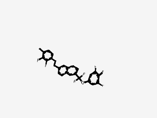 Cc1ccc(CCc2ccc3cc(C(F)(F)Oc4cc(F)c(F)c(F)c4)ccc3c2)c(F)c1F